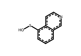 OSc1cccc2cnccc12